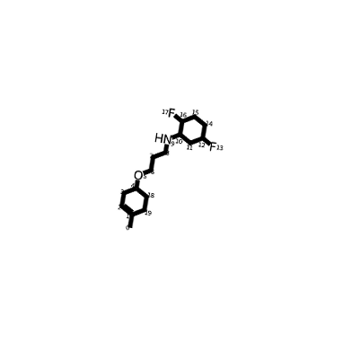 CC1=CCC(OCCCNC2CC(F)CCC2F)CC1